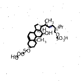 CC(C)[C@@H](/C=C/[C@@H](C)[C@H]1CCC2C3CC=C4C[C@@H](OSOOO)CC[C@]4(C)C3C[C@H](O)[C@@H]21)COS(=O)(=O)O